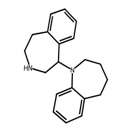 c1ccc2c(c1)CCNCC2N1CCCCc2ccccc21